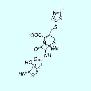 Cc1nnc(SCC2=C(C(=O)[O-])N3C(=O)C(NC(=O)Cc4csc(=N)n4O)[C@H]3SC2)s1.[Na+]